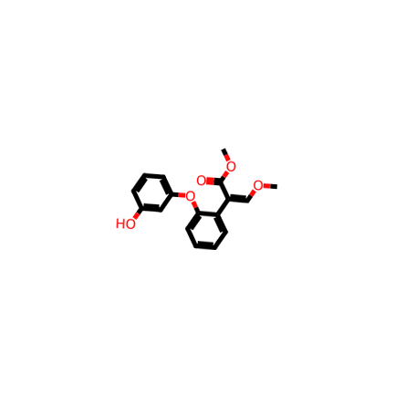 COC=C(C(=O)OC)c1ccccc1Oc1cccc(O)c1